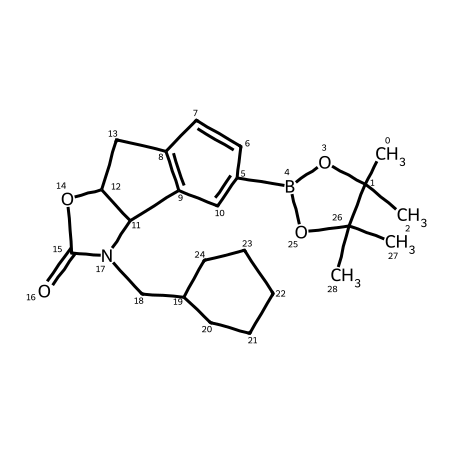 CC1(C)OB(c2ccc3c(c2)C2C(C3)OC(=O)N2CC2CCCCC2)OC1(C)C